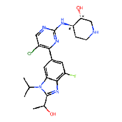 CC(O)c1nc2c(F)cc(-c3nc(N[C@@H]4CCNC[C@H]4O)ncc3Cl)cc2n1C(C)C